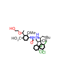 COc1c(NC(=O)[C@@H]2N[C@@H](CC(C)(C)C)[C@](C#N)(c3ccc(Cl)cc3F)[C@H]2c2cccc(Cl)c2F)ccc(C(=O)O)c1C(C)OCCO